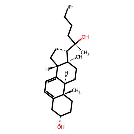 CC(C)CCC[C@@](C)(O)[C@H]1CC[C@H]2C3=CC=C4C[C@@H](O)CC[C@@]4(C)[C@@H]3CC[C@@]21C